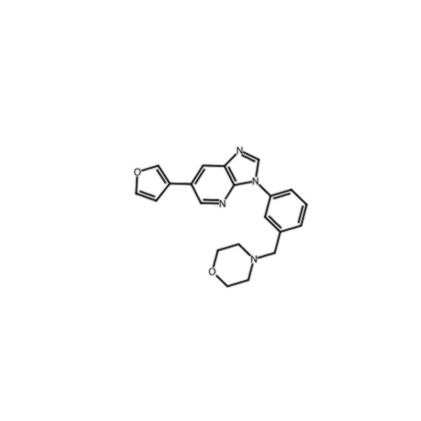 c1cc(CN2CCOCC2)cc(-n2cnc3cc(-c4ccoc4)cnc32)c1